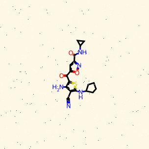 N#Cc1c(NC2CCCC2)sc(C(=O)c2cc(C(=O)NC3CC3)no2)c1N